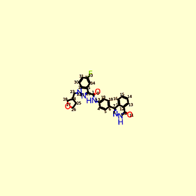 O=C(Nc1ccc(-c2n[nH]c(=O)c3ccccc23)cc1)c1nn(CC2CCOC2)c2ccc(F)cc12